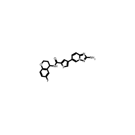 Nc1nc2ccc(-c3csc(C(=O)NC4CCOc5ccc(F)cc54)c3)cn2n1